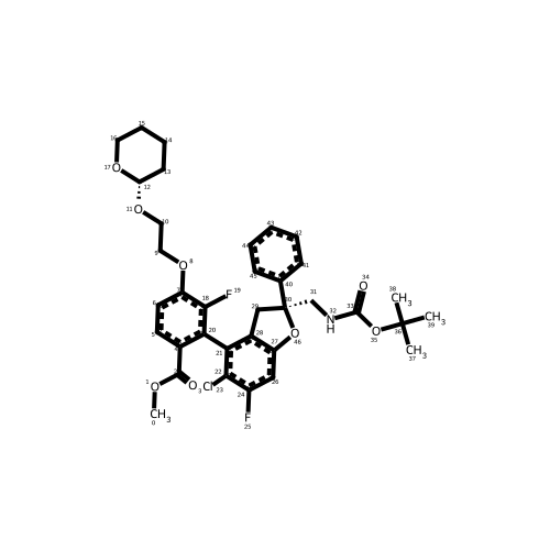 COC(=O)c1ccc(OCCO[C@H]2CCCCO2)c(F)c1-c1c(Cl)c(F)cc2c1C[C@@](CNC(=O)OC(C)(C)C)(c1ccccc1)O2